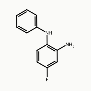 Nc1cc(F)ccc1Nc1ccccc1